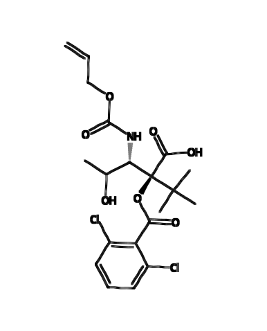 C=CCOC(=O)N[C@@H](C(C)O)[C@](OC(=O)c1c(Cl)cccc1Cl)(C(=O)O)C(C)(C)C